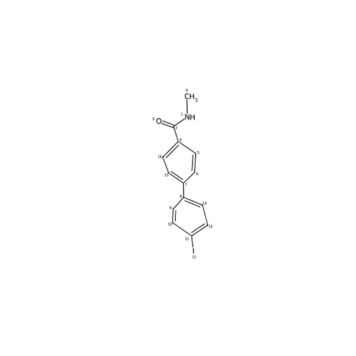 CNC(=O)c1ccc(-c2ccc(I)cc2)cc1